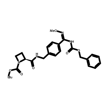 CO/N=C(/NC(=O)OCc1ccccc1)c1ccc(CNC(=O)[C@@H]2CCN2C(=O)OC(C)(C)C)cc1